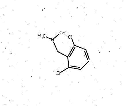 CN(C)Cc1c(Cl)cccc1Cl